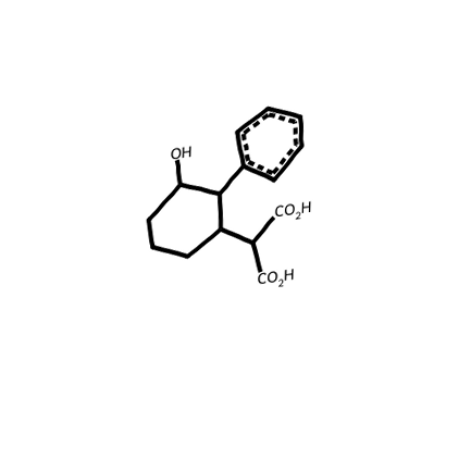 O=C(O)C(C(=O)O)C1CCCC(O)C1c1ccccc1